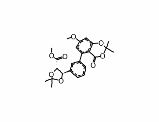 COC(=O)[C@H]1OC(C)(C)O[C@@H]1c1cccc(-c2cc(OC)cc3c2C(=O)OC(C)(C)O3)c1